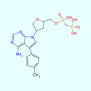 Cc1ccc(-c2cn(C3COC(COP(=O)(O)CP(=O)(O)O)C3)c3ncnc(N)c23)cc1